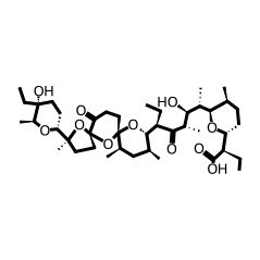 CC[C@@H](C(=O)[C@@H](C)[C@@H](O)[C@H](C)[C@@H]1O[C@@H]([C@@H](CC)C(=O)O)CC[C@@H]1C)[C@H]1O[C@]2(CCC(=O)[C@]3(CC[C@@](C)([C@H]4CC[C@](O)(CC)[C@H](C)O4)O3)O2)[C@H](C)C[C@@H]1C